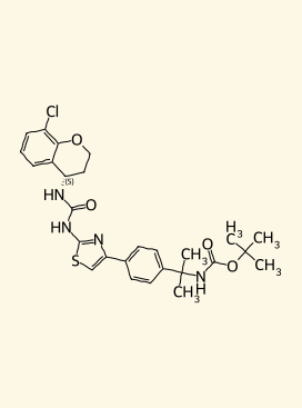 CC(C)(C)OC(=O)NC(C)(C)c1ccc(-c2csc(NC(=O)N[C@H]3CCOc4c(Cl)cccc43)n2)cc1